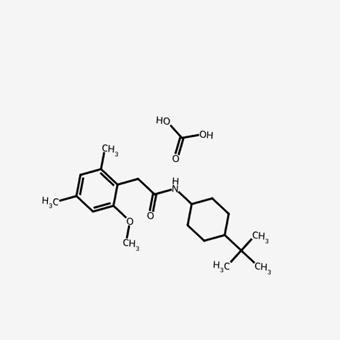 COc1cc(C)cc(C)c1CC(=O)NC1CCC(C(C)(C)C)CC1.O=C(O)O